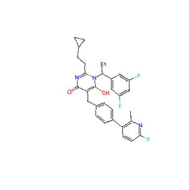 CCC(c1cc(F)cc(F)c1)n1c(CCC2CC2)nc(=O)c(Cc2ccc(-c3ccc(F)nc3C)cc2)c1O